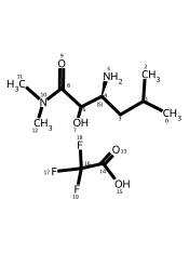 CC(C)C[C@H](N)C(O)C(=O)N(C)C.O=C(O)C(F)(F)F